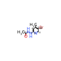 CC(=O)NNc1cc(C)c(Br)cn1